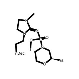 CCCCCCCCCCCCN1CCN(C)/C1=N/P(=O)(OI)N1CCO[C@H](CC)C1